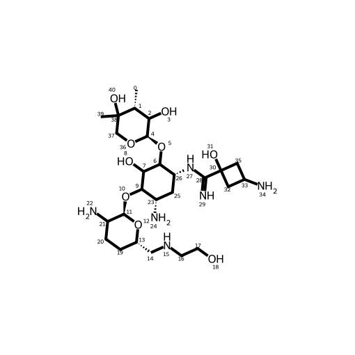 C[C@@H]1C(O)[C@@H](OC2C(O)C(O[C@H]3O[C@H](CNCCO)CCC3N)[C@@H](N)C[C@H]2NC(=N)C2(O)CC(N)C2)OCC1(C)O